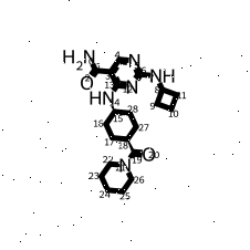 NC(=O)c1cnc(NC2CCC2)nc1N[C@H]1CC[C@H](C(=O)N2CCCCC2)CC1